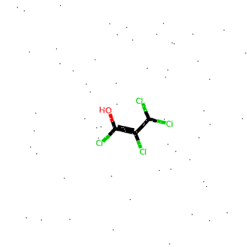 O/C(Cl)=C(/Cl)C(Cl)Cl